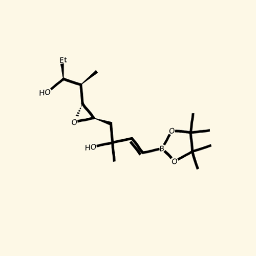 CC[C@H](O)[C@@H](C)[C@H]1O[C@@H]1CC(C)(O)/C=C/B1OC(C)(C)C(C)(C)O1